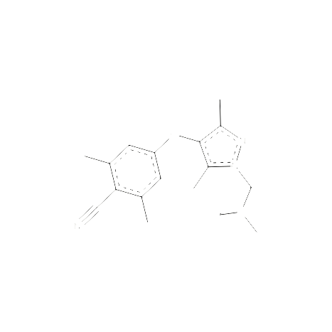 Cc1cc(Oc2c(C)nn(C[S+](C)[O-])c2C)cc(C)c1C#N